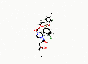 CC(O)CC(=O)N1CCN(C(=O)OC[C@@H](C)[C@@H](c2cc(F)ccc2F)S(=O)(=O)c2ccc(Cl)cc2)CC1